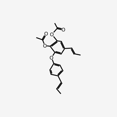 CC=Cc1ccc(Oc2cc(C=CC)cc(OC(C)=O)c2OC(C)=O)cc1